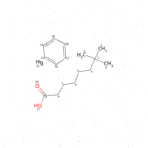 CC(C)(C)CCCCCC(=O)O.[Hg].c1ccccc1